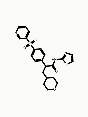 O=C(Nc1nccs1)C(CC1CCOCC1)c1ccc(S(=O)(=O)c2cccnc2)cc1